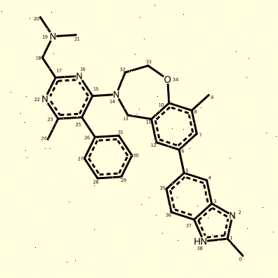 Cc1nc2cc(-c3cc(C)c4c(c3)CN(c3nc(CN(C)C)nc(C)c3-c3ccccc3)CCO4)ccc2[nH]1